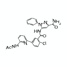 CC(=O)Nc1cccc(-c2ccc(Cl)c(C(=O)Nc3cc(C(N)=O)nn3-c3ccccc3)c2)n1